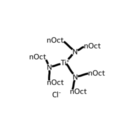 CCCCCCCC[N](CCCCCCCC)[Ti+]([N](CCCCCCCC)CCCCCCCC)[N](CCCCCCCC)CCCCCCCC.[Cl-]